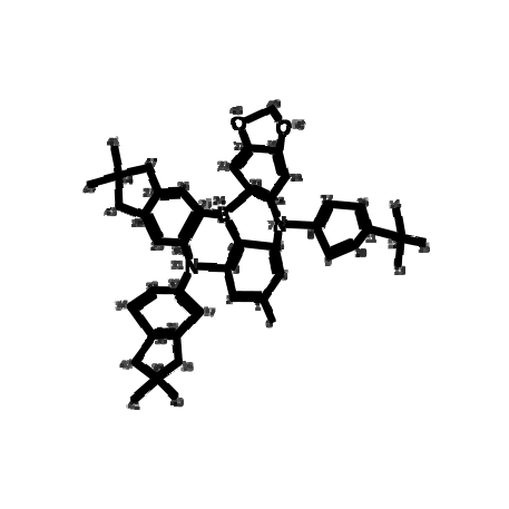 Cc1cc2c3c(c1)N(c1ccc(C(C)(C)C)cc1)c1cc4c(cc1B3c1cc3c(cc1N2c1ccc2c(c1)CC(C)(C)C2)CC(C)(C)C3)OCO4